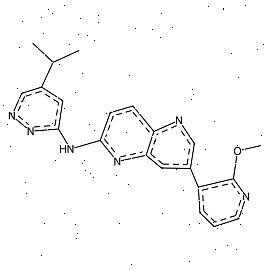 COc1ncccc1-c1cnc2ccc(Nc3cc(C(C)C)cnn3)nc2c1